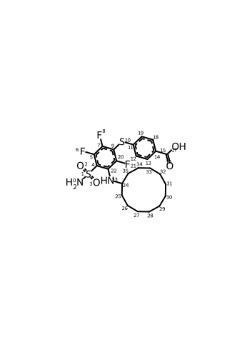 NS(=O)(=O)c1c(F)c(F)c(Sc2ccc(C(=O)O)cc2)c(F)c1NC1CCCCCCCCCCC1